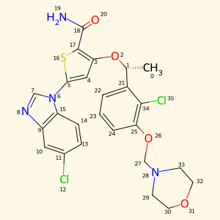 C[C@@H](Oc1cc(-n2cnc3cc(Cl)ccc32)sc1C(N)=O)c1cccc(OCN2CCOCC2)c1Cl